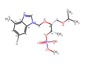 COP(=O)(O)O[C@@H](C)[C@@H](COC(C)C)OCn1cnc2c(C)cc(F)cc21